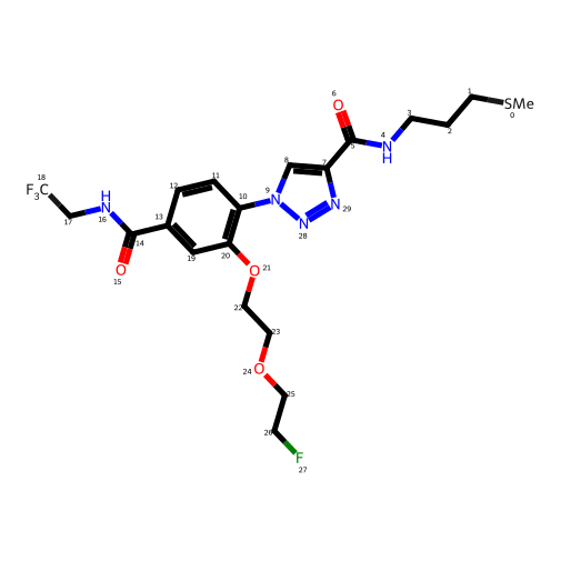 CSCCCNC(=O)c1cn(-c2ccc(C(=O)NCC(F)(F)F)cc2OCCOCCF)nn1